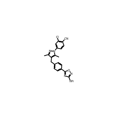 CCCc1noc(-c2ccc(Cc3c(C)nn(-c4ccc(C#N)c(Cl)c4)c3C)cc2)n1